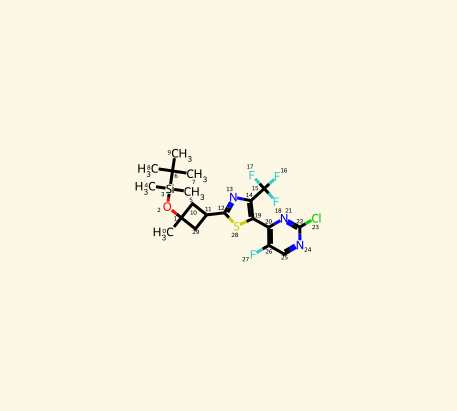 CC1(O[Si](C)(C)C(C)(C)C)CC(c2nc(C(F)(F)F)c(-c3nc(Cl)ncc3F)s2)C1